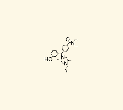 C=CCN1C[C@@H](C)N([C@H](c2ccc(C(=O)N(CC)CC)cc2)c2cccc(O)c2)CC1C